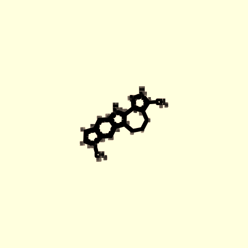 Cc1[nH]nc2c1CCCc1c-2[nH]c2cc3ccn(C)c3cc12